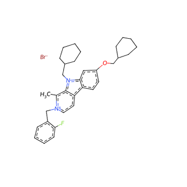 Cc1c2c(cc[n+]1Cc1ccccc1F)c1ccc(OCC3CCCCC3)cc1n2CC1CCCCC1.[Br-]